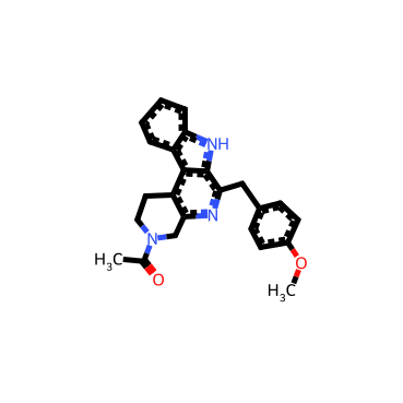 COc1ccc(Cc2nc3c(c4c2[nH]c2ccccc24)CCN(C(C)=O)C3)cc1